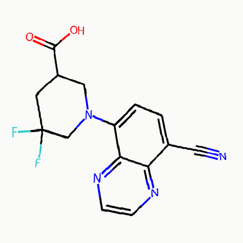 N#Cc1ccc(N2CC(C(=O)O)CC(F)(F)C2)c2nccnc12